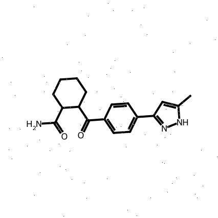 Cc1cc(-c2ccc(C(=O)C3CCCCC3C(N)=O)cc2)n[nH]1